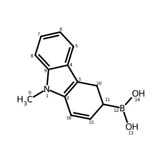 Cn1c2c(c3ccccc31)CC(B(O)O)C=C2